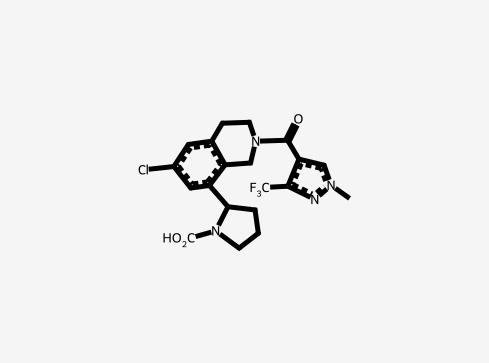 Cn1cc(C(=O)N2CCc3cc(Cl)cc(C4CCCN4C(=O)O)c3C2)c(C(F)(F)F)n1